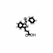 O=C(O)CCc1nn([S+]([O-])c2ccccc2)c2ccccc12